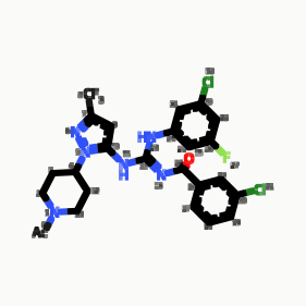 CC(=O)N1CCC(n2nc(C(F)(F)F)cc2N/C(=N/C(=O)c2cccc(Cl)c2)Nc2cc(F)cc(Cl)c2)CC1